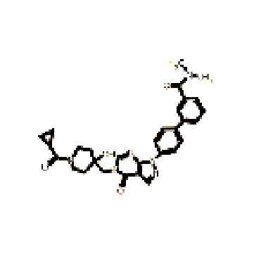 CN(C)C(=O)c1cccc(-c2ccc(-n3ncc4c(=O)n(CC5(O)CCN(C(=O)C6CC6)CC5)cnc43)cc2)c1